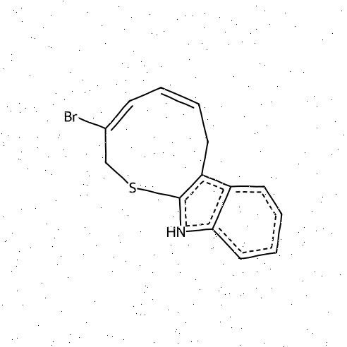 Br/C1=C/C=C\Cc2c([nH]c3ccccc23)SC1